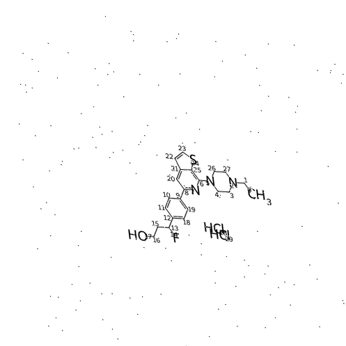 CCN1CCN(c2nc(-c3ccc(C(F)CCO)cc3)cc3ccsc23)CC1.Cl.Cl